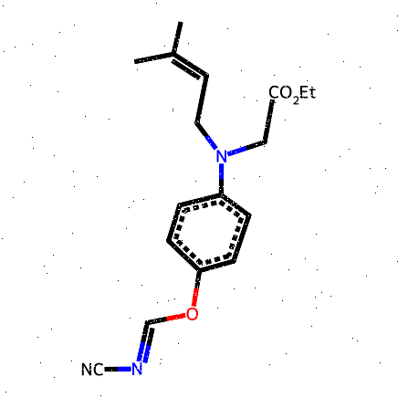 CCOC(=O)CN(CC=C(C)C)c1ccc(OC=NC#N)cc1